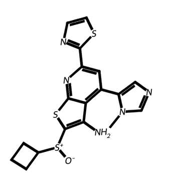 Cn1cncc1-c1cc(-c2nccs2)nc2sc([S+]([O-])C3CCC3)c(N)c12